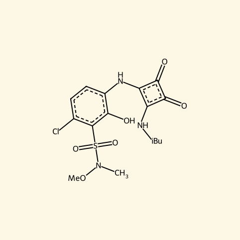 CCC(C)Nc1c(Nc2ccc(Cl)c(S(=O)(=O)N(C)OC)c2O)c(=O)c1=O